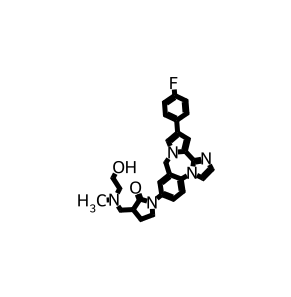 CN(CCO)CC1CCN(c2ccc3c(c2)Cn2cc(-c4ccc(F)cc4)cc2-c2nccn2-3)C1=O